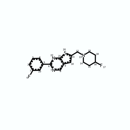 Fc1cccc(-c2ncc3cc(CN4CCC(F)CC4)sc3n2)c1